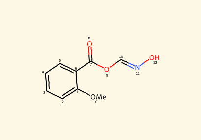 COc1ccccc1C(=O)OC=NO